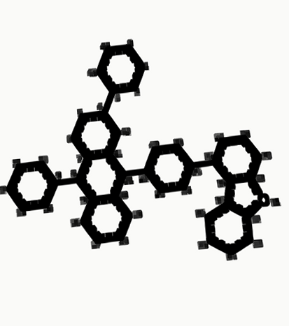 c1ccc(-c2ccc3c(-c4ccccc4)c4ccccc4c(-c4ccc(-c5cccc6oc7ccccc7c56)cc4)c3c2)cc1